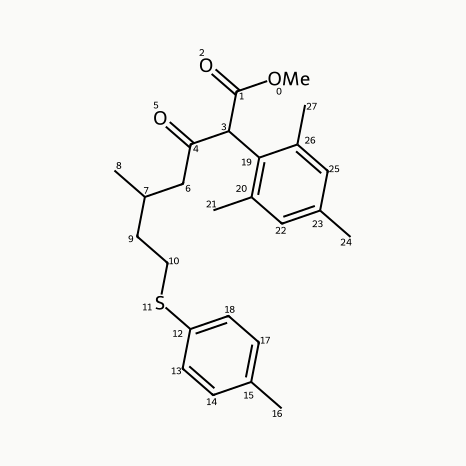 COC(=O)C(C(=O)CC(C)CCSc1ccc(C)cc1)c1c(C)cc(C)cc1C